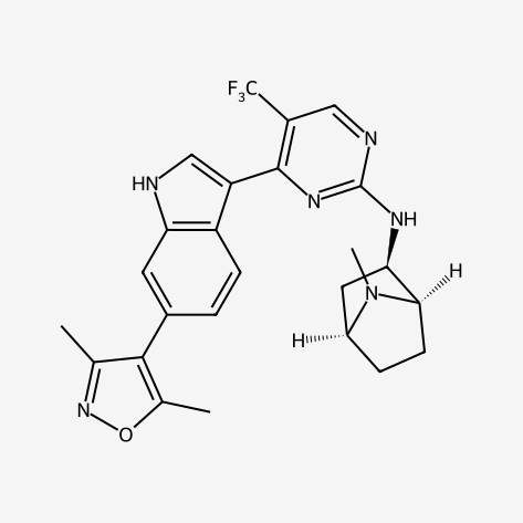 Cc1noc(C)c1-c1ccc2c(-c3nc(N[C@@H]4C[C@@H]5CC[C@H]4N5C)ncc3C(F)(F)F)c[nH]c2c1